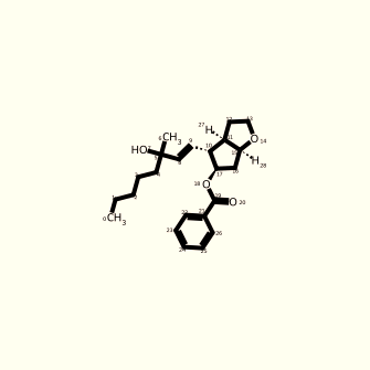 CCCCCC(C)(O)/C=C/[C@@H]1[C@H]2CCO[C@H]2C[C@H]1OC(=O)c1ccccc1